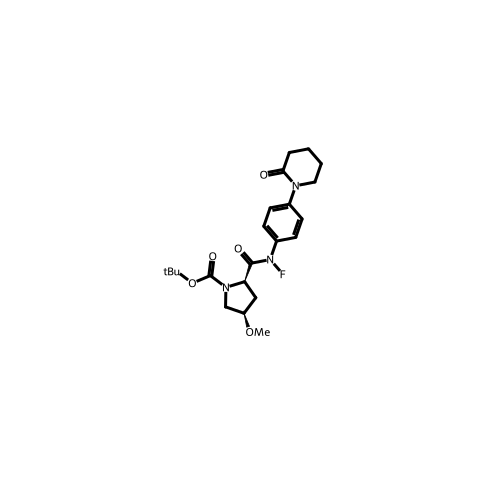 CO[C@@H]1C[C@H](C(=O)N(F)c2ccc(N3CCCCC3=O)cc2)N(C(=O)OC(C)(C)C)C1